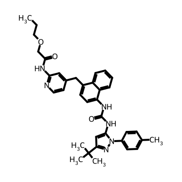 CCCOCC(=O)Nc1cc(Cc2ccc(NC(=O)Nc3cc(C(C)(C)C)nn3-c3ccc(C)cc3)c3ccccc23)ccn1